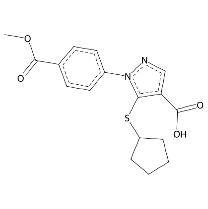 COC(=O)c1ccc(-n2ncc(C(=O)O)c2SC2CCCC2)cc1